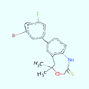 CC1(C)OC(=S)Nc2ccc(-c3cc(F)cc(Br)c3)cc21